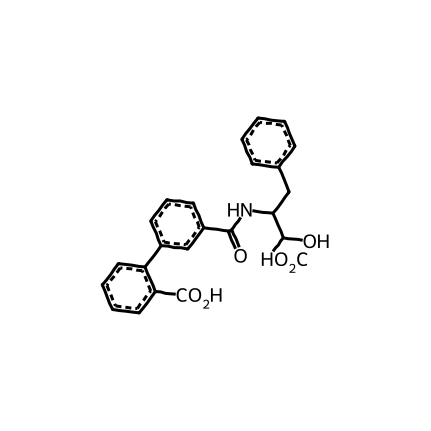 O=C(NC(Cc1ccccc1)C(O)C(=O)O)c1cccc(-c2ccccc2C(=O)O)c1